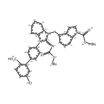 CC(C)(C)OC(=O)N=c1n(Cc2cccc3c2ccn3C(=O)OC(C)(C)C)c2ccccc2n1-c1ccc(-c2cc(Cl)ccc2C(=O)O)cc1